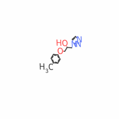 Cc1ccc(OCC(O)Cn2ccnn2)cc1